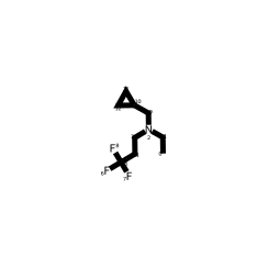 CCN(CCC(F)(F)F)CC1CC1